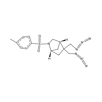 Cc1ccc(S(=O)(=O)N2C[C@H]3C[C@@H]2CC3(CN=[N+]=[N-])CN=[N+]=[N-])cc1